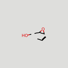 C=CC.CC1CO1.CO